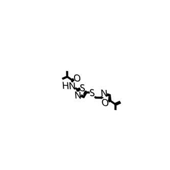 C=C(C)c1cnc(CSc2cnc(NC(=O)C(C)C)s2)o1